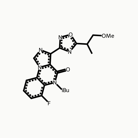 CCC(C)n1c(=O)c2c(-c3noc(C(C)COC)n3)ncn2c2cccc(F)c21